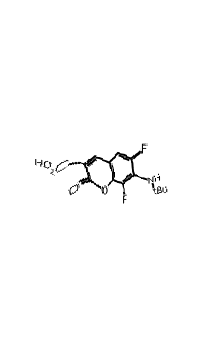 CC(C)(C)Nc1c(F)cc2cc(C(=O)O)c(=O)oc2c1F